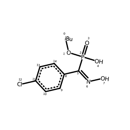 CCC(C)OP(=O)(O)C(=NO)c1ccc(Cl)cc1